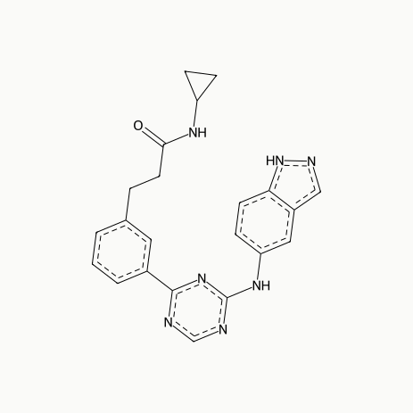 O=C(CCc1cccc(-c2ncnc(Nc3ccc4[nH]ncc4c3)n2)c1)NC1CC1